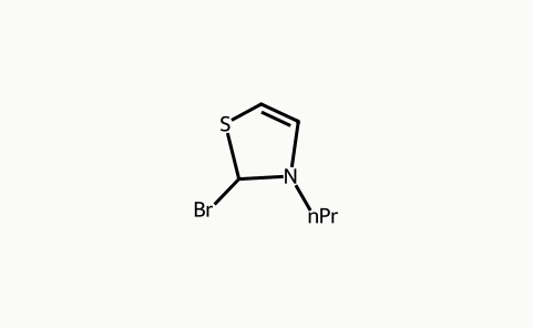 CCCN1C=CSC1Br